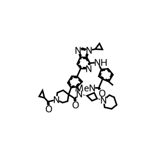 CNC(=O)c1cc(Nc2nc(-c3ccc4c(c3)N([C@H]3C[C@@H](N5CCCCC5)C3)C(=O)C43CCN(C(=O)C4CC4)CC3)cc3ncn(C4CC4)c23)ccc1C